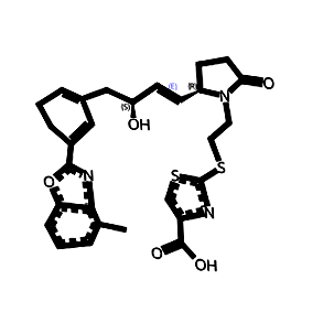 Cc1cccc2oc(C3=CC(C[C@H](O)/C=C/[C@H]4CCC(=O)N4CCSc4nc(C(=O)O)cs4)=CCC3)nc12